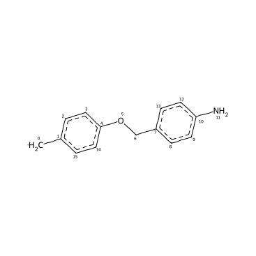 [CH2]c1ccc(OCc2ccc(N)cc2)cc1